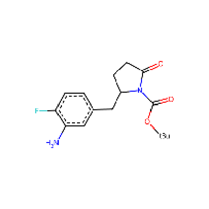 CC(C)(C)OC(=O)N1C(=O)CCC1Cc1ccc(F)c(N)c1